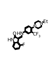 CCN1CCN(c2ccc(NC=C3C(=O)Nc4cccc(F)c43)cc2C(F)(F)F)CC1